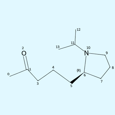 CC(=O)CCC[C@@H]1CCCN1C(C)C